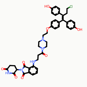 O=C1CCC(N2C(=O)c3cccc(NCCC(=O)N4CCN(CCOc5ccc(C(=C(CCCl)c6ccc(O)cc6)c6ccc(O)cc6)cc5)CC4)c3C2=O)C(=O)N1